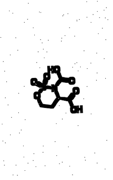 O=C(O)[C@H]1CCOS(=O)(=O)N1C(=O)O